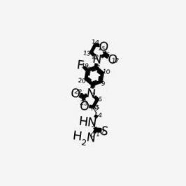 NC(=S)NC[C@H]1CN(c2ccc(N3CCOC3=O)c(F)c2)C(=O)O1